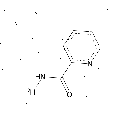 [2H]NC(=O)c1ccccn1